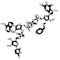 CO[C@@H]1[C@H](OP(=O)([O-])OC[C@H]2O[C@@H](n3ccc(=O)[nH]c3=O)[C@H](O)[C@@H]2O)[C@@H](COP(=O)(O)OP(=O)(O)OP(=O)(O)OC[C@H]2O[C@@H](n3c[n+](C)c4c(=O)[nH]c(N)nc43)[C@H](O)[C@@H]2COCc2ccccc2)O[C@H]1n1cnc2c(N)ncnc21